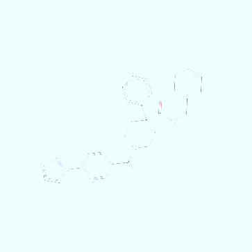 C[C@H](NC(=O)C1(c2ccccc2)CCN(C(=O)c2ccc(-n3ccnc3)nc2)CC1)C1=CC=CCC1